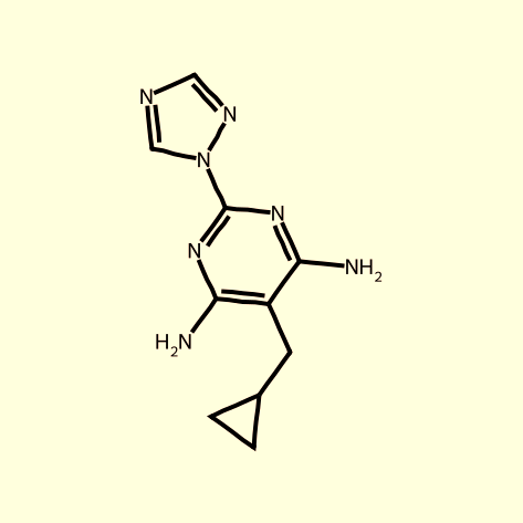 Nc1nc(-n2cncn2)nc(N)c1CC1CC1